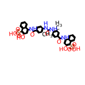 Cc1cc(C(=O)Nc2cc(O)c(S(=O)(=O)O)c3ccccc23)ccc1NC(=O)Nc1ccc(C(=O)Nc2cc(O)c(S(=O)(=O)O)c3ccccc23)cc1C